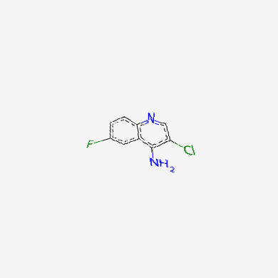 Nc1c(Cl)cnc2ccc(F)cc12